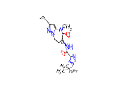 CCCC(C)(C)Cn1cnc(C(=O)N[C@H]2CCn3nc(C4CC4)cc3N(C)C2=O)n1